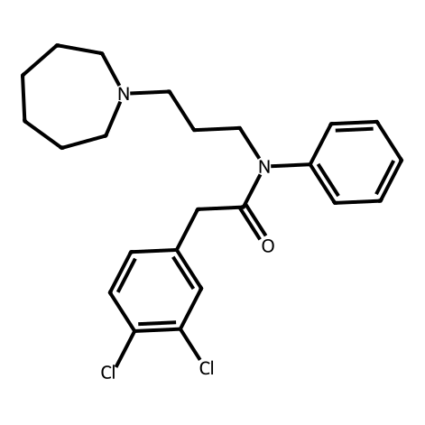 O=C(Cc1ccc(Cl)c(Cl)c1)N(CCCN1CCCCCC1)c1ccccc1